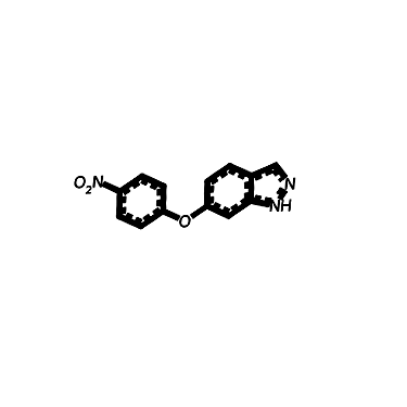 O=[N+]([O-])c1ccc(Oc2ccc3cn[nH]c3c2)cc1